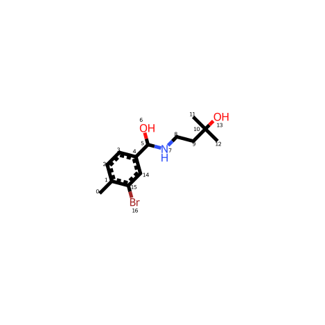 Cc1ccc(C(O)NCCC(C)(C)O)cc1Br